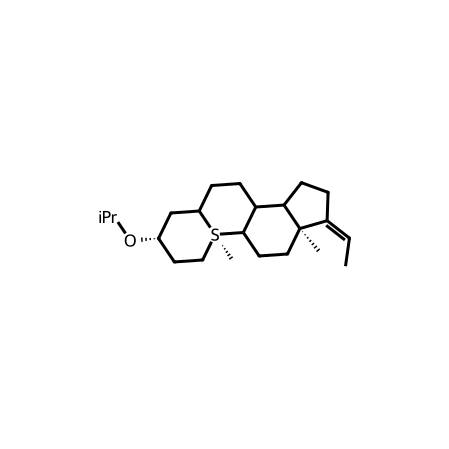 C/C=C1/CCC2C3CCC4C[C@@H](OC(C)C)CC[S@]4(C)C3CC[C@]12C